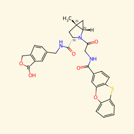 C[C@@]12C[C@@H]1N(C(=O)CNC(=O)c1ccc3c(c1)Oc1ccccc1S3)[C@H](C(=O)NCc1ccc3c(c1)B(O)OC3)C2